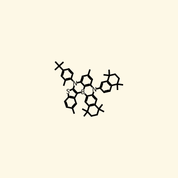 Cc1cc2c3c(c1)N(c1ccc(C(C)(C)C)cc1C)c1sc4ccc(C)cc4c1B3c1cc3c(cc1N2c1ccc2c(c1)C(C)(C)CCC2(C)C)C(C)(C)CCC3(C)C